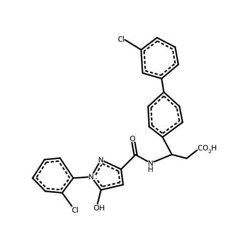 O=C(O)CC(NC(=O)c1cc(O)n(-c2ccccc2Cl)n1)c1ccc(-c2cccc(Cl)c2)cc1